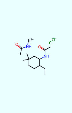 CC(=O)[NH][Ti+2].CCC1CCC(C)(C)CC1NC(C)=O.[Cl-].[Cl-]